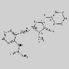 CC(=O)Nc1ccccc1C#C[C@@H]1C[C@H](CN2CCCCC2)C(=O)N1C